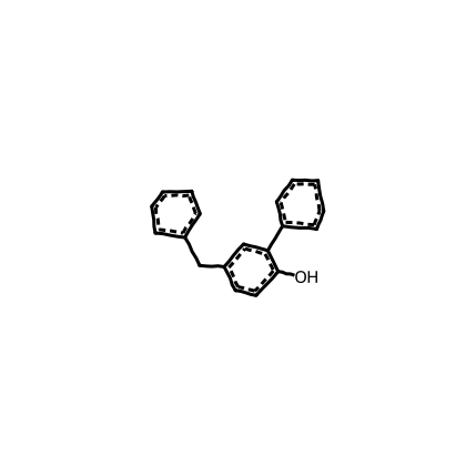 Oc1ccc(Cc2ccccc2)cc1-c1ccccc1